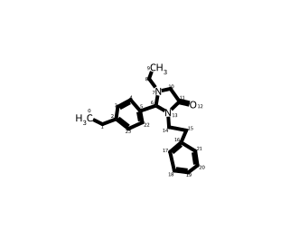 CCc1ccc(C2N(CC)CC(=O)N2CCc2ccccc2)cc1